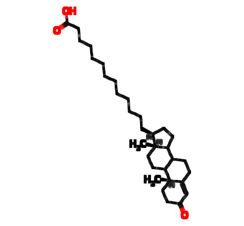 C[C@]12CCC(=O)C=C1CCC1C2CC[C@@]2(C)C1CC[C@@H]2CCCCCCCCCCCCC(=O)O